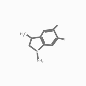 CC1CN(N)c2cc(F)c(F)cc21